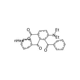 CCCCCCOC(=O)c1ccc(N(CC)CC)c(C(=O)c2ccccc2)c1C(=O)c1ccccc1